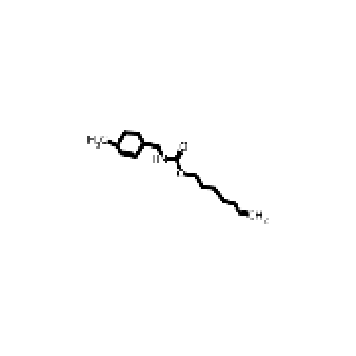 C=CCCCCCOC(=O)NCC1C=CC(C)CC1